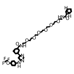 O=C(NCCOCCOCCOCCOCCOCCOCCNC(=O)C1C[C@H]2C=C[C@@H]1C2)c1cccc(-c2cc(Nc3ccc(OC(F)(F)F)cc3)ncn2)c1